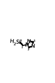 [SiH2]=Cn1cncn1